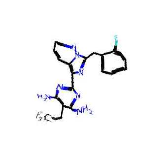 Nc1nc(-c2nc(Cc3ccccc3F)n3ncccc23)nc(N)c1[CH]C(F)(F)F